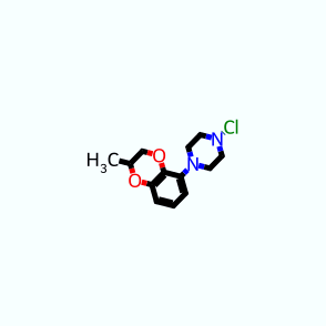 CC1COc2c(cccc2N2CCN(Cl)CC2)O1